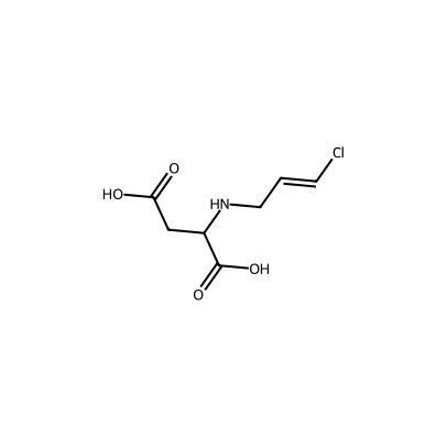 O=C(O)CC(NCC=CCl)C(=O)O